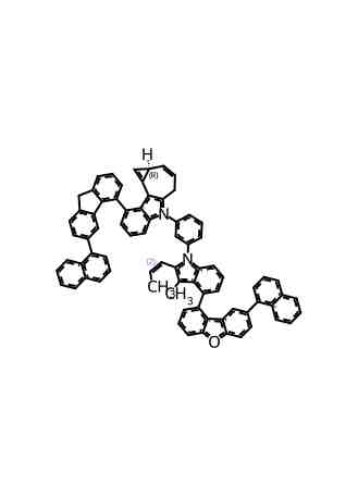 C/C=C\c1c(C)c2c(-c3cccc4oc5ccc(-c6cccc7ccccc67)cc5c34)cccc2n1-c1cccc(-n2c3c(c4c(-c5cccc6c5-c5cc(-c7cccc8ccccc78)ccc5C6)cccc42)C2=C[C@H]2C=CC3)c1